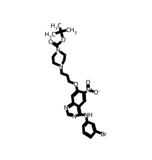 CC(C)(C)OC(=O)N1CCN(CCCOc2cc3ncnc(Nc4cccc(Br)c4)c3cc2[N+](=O)[O-])CC1